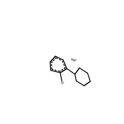 [Na+].[O-]c1ccccc1C1CCCCC1